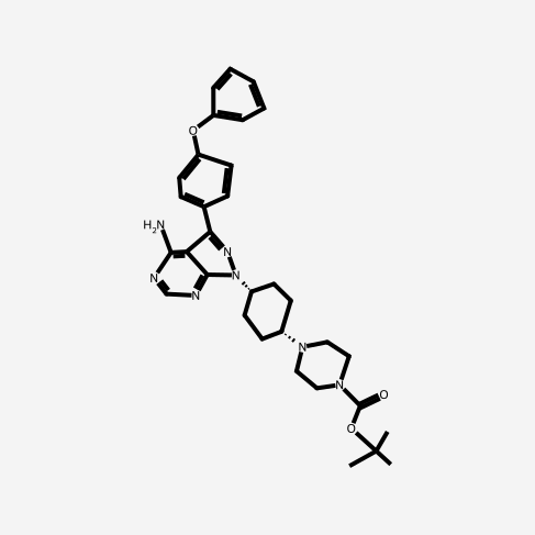 CC(C)(C)OC(=O)N1CCN([C@H]2CC[C@@H](n3nc(-c4ccc(Oc5ccccc5)cc4)c4c(N)ncnc43)CC2)CC1